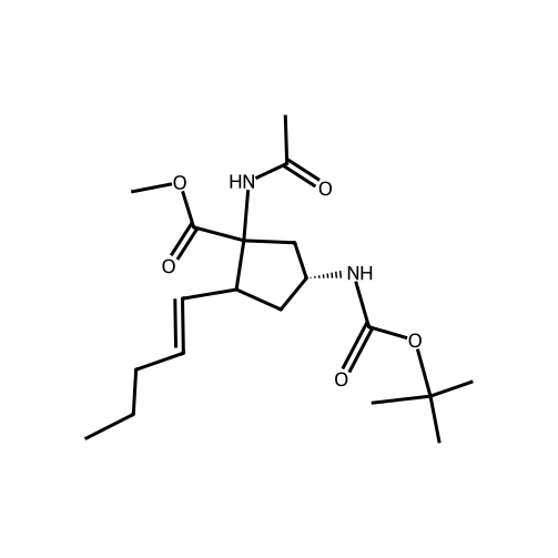 CCCC=CC1C[C@@H](NC(=O)OC(C)(C)C)CC1(NC(C)=O)C(=O)OC